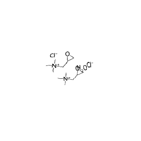 C[N+](C)(C)CC1CO1.C[N+](C)(C)CC1CO1.O.[Cl-].[Cl-]